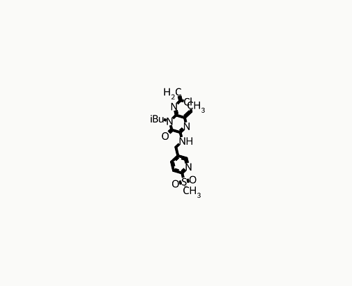 C=C(Cl)/N=C1\C(=C/C)N=C(NCc2ccc(S(C)(=O)=O)nc2)C(=O)N1C(C)CC